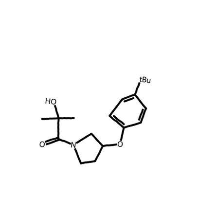 CC(C)(O)C(=O)N1CCC(Oc2ccc(C(C)(C)C)cc2)C1